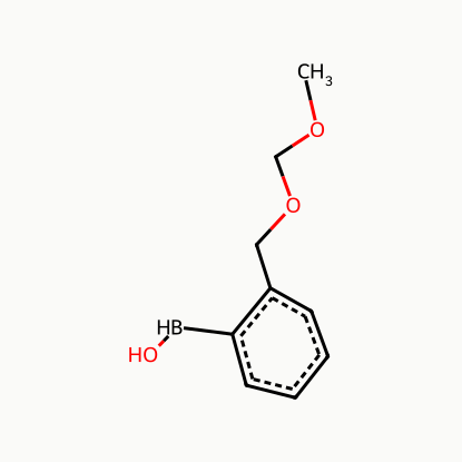 COCOCc1ccccc1BO